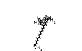 CCCCCCCCCCCCCCCC(C[N+](C)(C)C)OP(=O)([O-])O